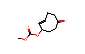 COC(=O)OC1/C=C/CCC(=O)CC1